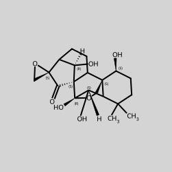 CC1(C)CC[C@H](O)[C@]23CO[C@@](O)([C@@H](O)C12)[C@]12C(=O)[C@@]4(CO4)C(CCC31)[C@H]2O